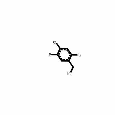 CC(C)Cc1cc(F)c(Cl)cc1Cl